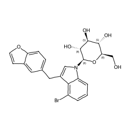 OC[C@H]1O[C@@H](n2cc(Cc3ccc4occc4c3)c3c(Br)cccc32)[C@H](O)[C@@H](O)[C@@H]1O